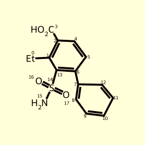 CCc1c(C(=O)O)ccc(-c2ccccc2)c1S(N)(=O)=O